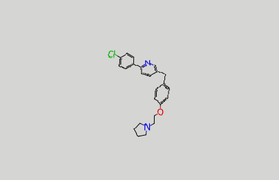 Clc1ccc(-c2ccc(Cc3ccc(OCCN4CCCC4)cc3)cn2)cc1